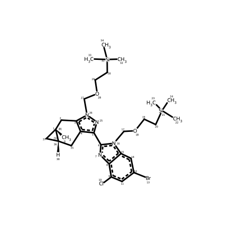 C[C@@]12Cc3c(c(-c4nc5c(Cl)cc(Br)cc5n4COCC[Si](C)(C)C)nn3COCC[Si](C)(C)C)C[C@@H]1C2